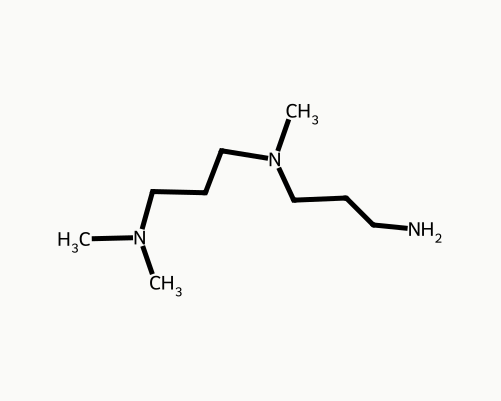 CN(C)CCCN(C)CCCN